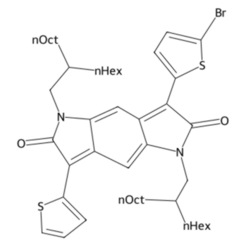 CCCCCCCCC(CCCCCC)CN1C(=O)C(c2cccs2)=c2cc3c(cc21)=C(c1ccc(Br)s1)C(=O)N3CC(CCCCCC)CCCCCCCC